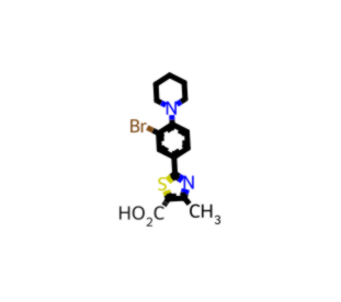 Cc1nc(-c2ccc(N3CCCCC3)c(Br)c2)sc1C(=O)O